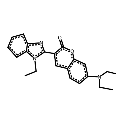 CCN(CC)c1ccc2cc(-c3nc4ccccc4n3CC)c(=O)oc2c1